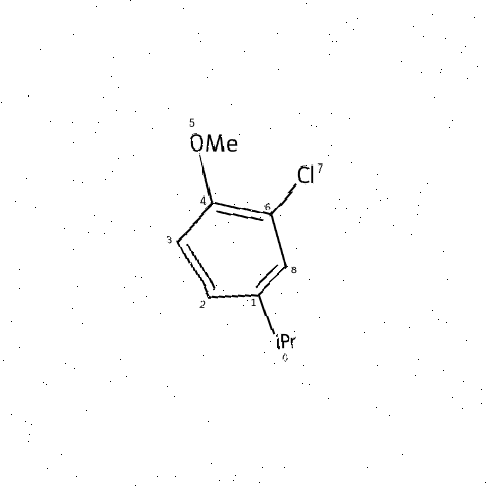 [CH2]C(C)c1ccc(OC)c(Cl)c1